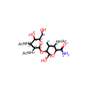 CC(=O)NC1C(C(N)=O)OC(O)C(OC2OC(CO)C(O)C(NC(C)=O)C2NC(C)=O)C1C